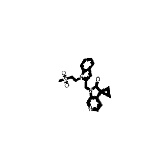 CS(=O)(=O)CCn1c(CN2C(=O)C3(CC3)c3ccncc32)cc2ccccc21